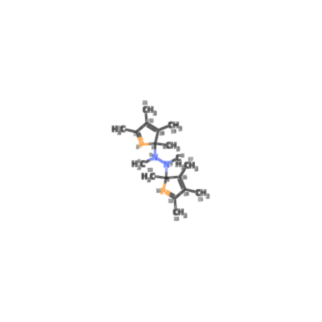 CC1=PC(C)(N(C)N(C)C2(C)P=C(C)C(C)=C2C)C(C)=C1C